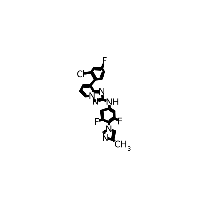 Cc1cn(-c2c(F)cc(Nc3nc4c(-c5ccc(F)cc5Cl)cccn4n3)cc2F)cn1